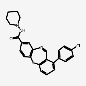 O=C(NN1CCCCC1)c1ccc2c(c1)N=Cc1c(cccc1-c1ccc(Cl)cc1)S2